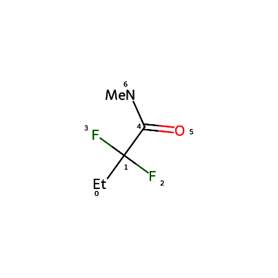 CCC(F)(F)C(=O)NC